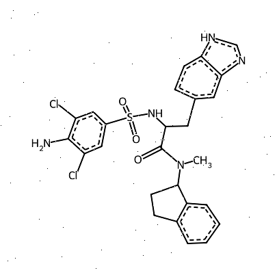 CN(C(=O)C(Cc1ccc2[nH]cnc2c1)NS(=O)(=O)c1cc(Cl)c(N)c(Cl)c1)C1CCc2ccccc21